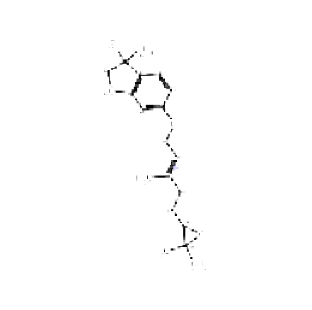 C/C(=C\COc1ccc2c(c1)OCC2(C)C)CCC1OC1(C)C